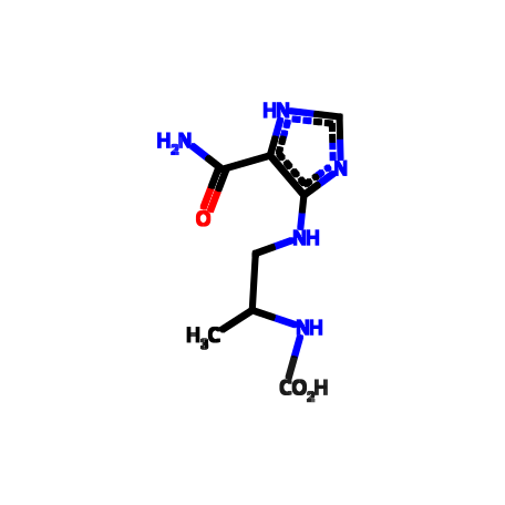 CC(CNc1nc[nH]c1C(N)=O)NC(=O)O